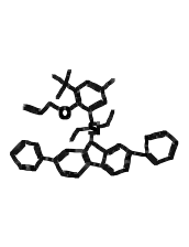 C=CCOc1c(C(C)(C)C)cc(C)cc1[Si](CC)(CC)C1c2cc(-c3ccccc3)ccc2-c2ccc(-c3ccccc3)cc21